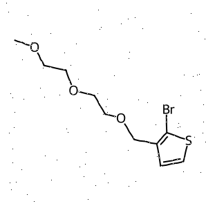 COCCOCCOCc1ccsc1Br